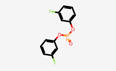 O=[PH](Oc1cccc(F)c1)Oc1cccc(F)c1